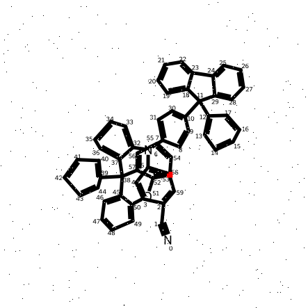 N#Cc1ccc(N(c2ccc(C3(c4ccccc4)c4ccccc4-c4ccccc43)cc2)c2ccccc2C2(c3ccccc3)c3ccccc3Oc3ccccc32)cc1